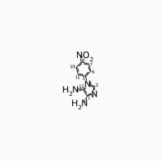 Nc1ncn(-c2ccc([N+](=O)[O-])cc2)c1N